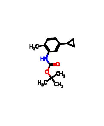 Cc1ccc(C2CC2)cc1NC(=O)OC(C)(C)C